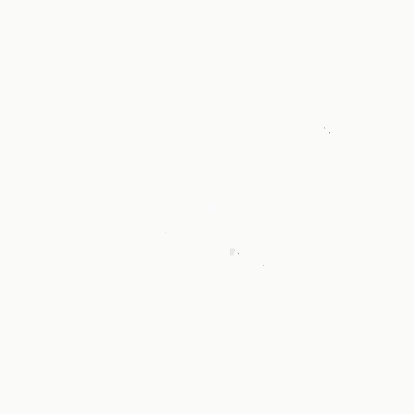 CC1(C)Cc2cc(C#N)ccc2/C(=C/C(=O)c2ccccc2)N1